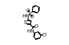 O=C(Nc1cccc(Cl)c1)c1csc(NS(=O)(=O)c2ccccc2)c1